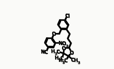 CC1(C)OC(CCCc2cc(Cl)ccc2COc2ccc(C#N)cc2[N+](=O)[O-])OC1(C)C